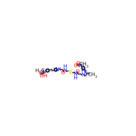 C/C=C(\C=C/NCCCC(=O)NCCSSCCNC(=O)CCC[n+]1ccc(/C=C/c2ccc(N(C)CC(=O)O)cc2)cc1)/C=C/c1ccc(N(C)CC(=O)[O-])cc1